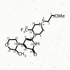 COCCSN1CCN(c2cc(N3CCOCC3C)cc(=O)[nH]2)C(C(F)(F)F)C1